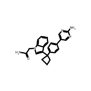 NC(=O)Cn1cc(C2(c3ccc(-c4cnc(N)nc4)cc3)CCC2)c2ccccc21